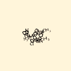 COC1CCC(N(C)C[C@H]2COc3cc4c(cc3O2)C2(CCC(Nc3cccc(Cl)c3)(C(=O)O)CC2)[C@@H](C[C@@H](C)COc2ccnc3c2[C@H](C)CCC3)C4)CC1